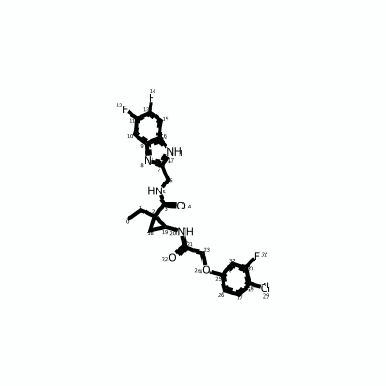 CCC1(C(=O)NCc2nc3cc(F)c(F)cc3[nH]2)CC1NC(=O)COc1ccc(Cl)c(F)c1